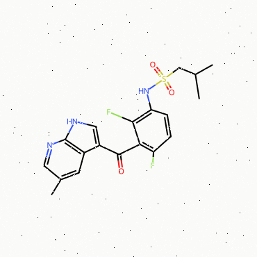 Cc1cnc2[nH]cc(C(=O)c3c(F)ccc(NS(=O)(=O)CC(C)C)c3F)c2c1